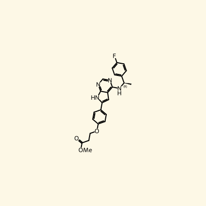 COC(=O)CCOc1ccc(-c2cc3c(N[C@H](C)c4ccc(F)cc4)ncnc3[nH]2)cc1